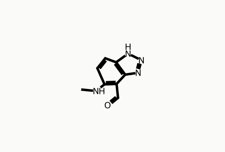 CNc1ccc2[nH]nnc2c1C=O